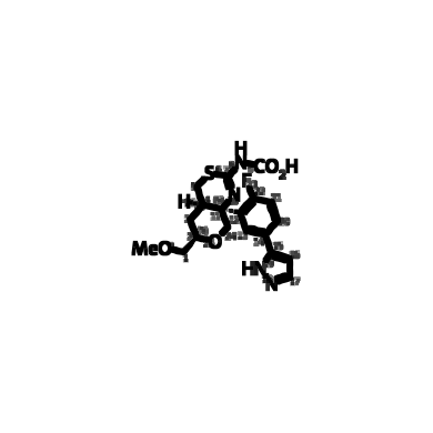 COC[C@H]1C[C@H]2CSC(NC(=O)O)=N[C@@]2(c2cc(-c3ccn[nH]3)ccc2F)CO1